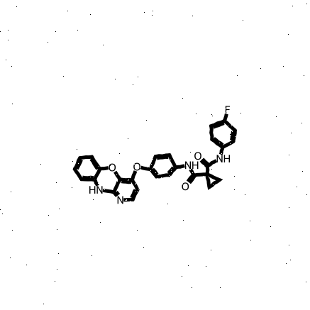 O=C(Nc1ccc(F)cc1)C1(C(=O)Nc2ccc(Oc3ccnc4c3Oc3ccccc3N4)cc2)CC1